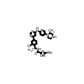 C[C@@H](NC(=O)c1nc(C(C)(C)C)no1)c1ccc(-c2cc(Nc3ccc(N4CCNC[C@@H]4C)cn3)ncn2)cc1Cl